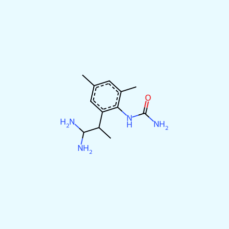 Cc1cc(C)c(NC(N)=O)c(C(C)C(N)N)c1